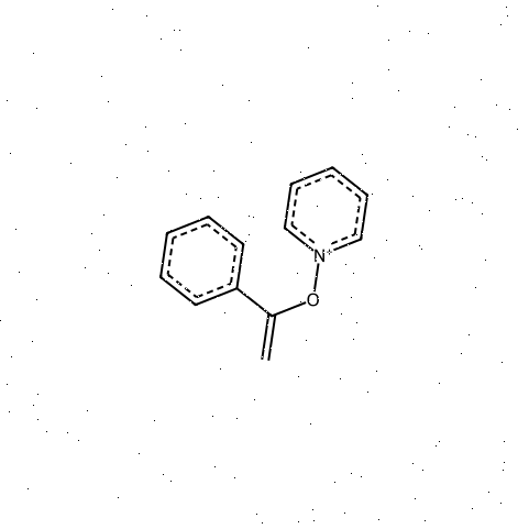 C=C(O[n+]1ccccc1)c1ccccc1